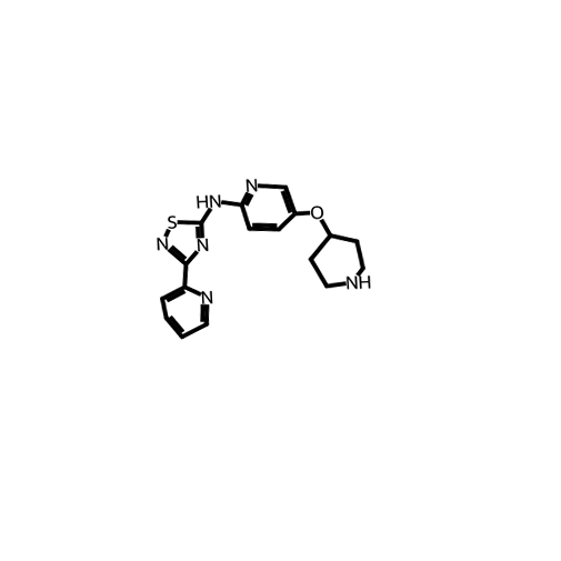 c1ccc(-c2nsc(Nc3ccc(OC4CCNCC4)cn3)n2)nc1